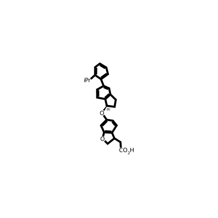 CC(C)c1ccccc1-c1ccc2c(c1)CC[C@H]2Oc1ccc2c(c1)OCC2CC(=O)O